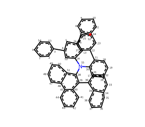 c1ccc(-c2cc(-c3ccccc3)cc(N(c3ccccc3-c3ccccc3)c3c(-c4cccc5ccccc45)c4ccccc4c4ccccc34)c2)cc1